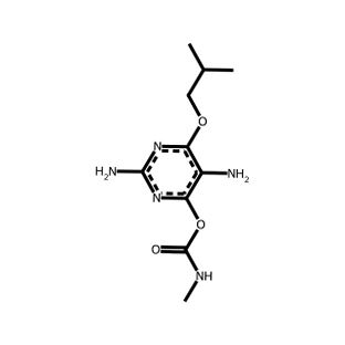 CNC(=O)Oc1nc(N)nc(OCC(C)C)c1N